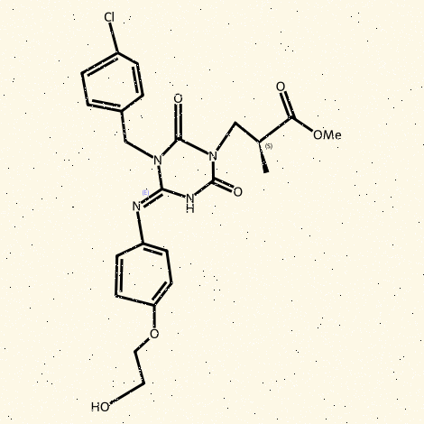 COC(=O)[C@@H](C)Cn1c(=O)[nH]/c(=N\c2ccc(OCCO)cc2)n(Cc2ccc(Cl)cc2)c1=O